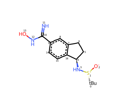 CC(C)(C)[S@@+]([O-])N[C@@H]1CCc2cc(C(=N)NO)ccc21